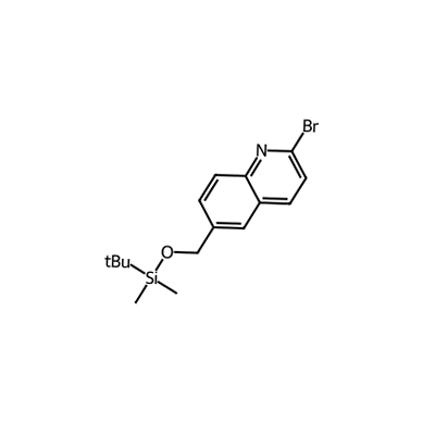 CC(C)(C)[Si](C)(C)OCc1ccc2nc(Br)ccc2c1